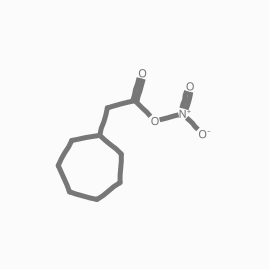 O=C(CC1CCCCCC1)O[N+](=O)[O-]